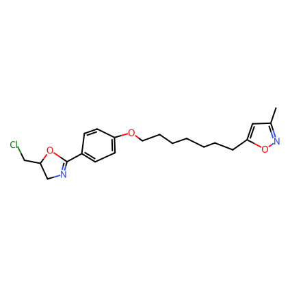 Cc1cc(CCCCCCCOc2ccc(C3=NCC(CCl)O3)cc2)on1